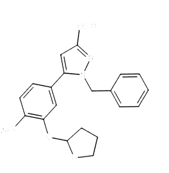 COc1ccc(-c2cc(C(=O)O)nn2Cc2ccccc2)cc1OC1CCCO1